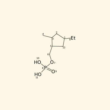 CCC1CC(C)C(COP(=O)(O)O)C1